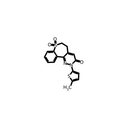 Cc1ccc(-n2nc3c(cc2=O)CCS(=O)(=O)c2ccccc2-3)s1